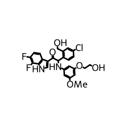 COc1cc(NC(C(=O)c2c[nH]c3c(F)c(F)ccc23)c2ccc(Cl)cc2CO)cc(OCCO)c1